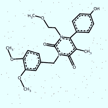 COCCn1c(-c2ccc(O)cc2)c(C)c(=O)n(Cc2ccc(OC)c(OC)c2)c1=O